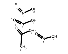 O=C(O)[SiH3].O=NO.O=NO.O=NO